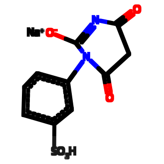 O=C1CC(=O)N(c2cccc(S(=O)(=O)O)c2)C([O-])=N1.[Na+]